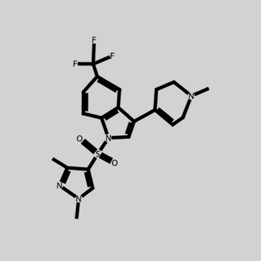 Cc1nn(C)cc1S(=O)(=O)n1cc(C2=CCN(C)CC2)c2cc(C(F)(F)F)ccc21